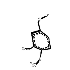 FOc1ccc(OC(F)(F)F)c(F)c1